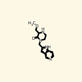 COCC1NCCN(Cc2cc3cnccc3[nH]2)C1=O